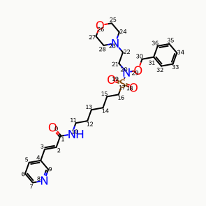 O=C(/C=C/c1cccnc1)NCCCCCCS(=O)(=O)N(CCN1CCOCC1)OCc1ccccc1